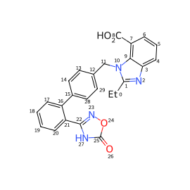 CCc1nc2cccc(C(=O)O)c2n1Cc1ccc(-c2ccccc2-c2noc(=O)[nH]2)cc1